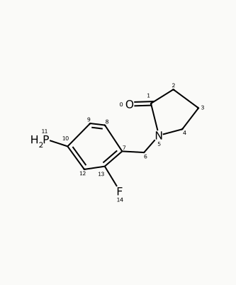 O=C1CCCN1Cc1ccc(P)cc1F